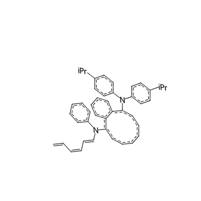 C=C/C=C\C=C\N(c1ccccc1)c1ccccccc(N(c2ccc(C(C)C)cc2)c2ccc(C(C)C)cc2)c2ccccc12